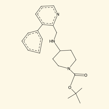 CC(C)(C)OC(=O)N1CCC(NCc2ncccc2-c2ccccc2)CC1